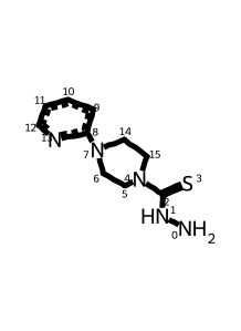 NNC(=S)N1CCN(c2ccccn2)CC1